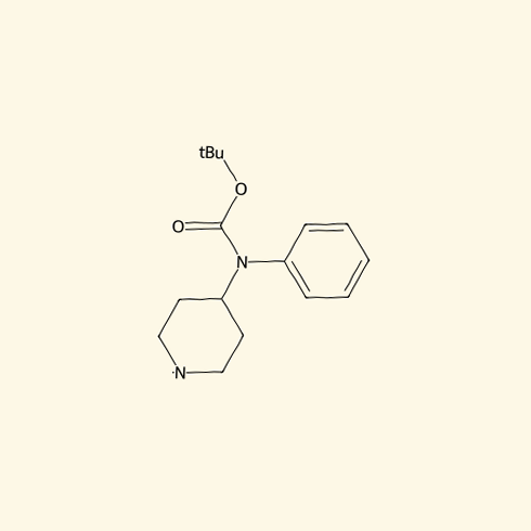 CC(C)(C)OC(=O)N(c1ccccc1)C1CC[N]CC1